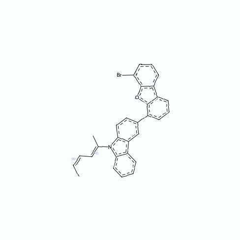 C/C=C\C=C(/C)n1c2ccccc2c2cc(-c3cccc4c3oc3c(Br)cccc34)ccc21